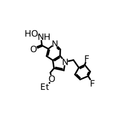 CCOCc1cn(Cc2ccc(F)cc2F)c2cnc(C(=O)NO)cc12